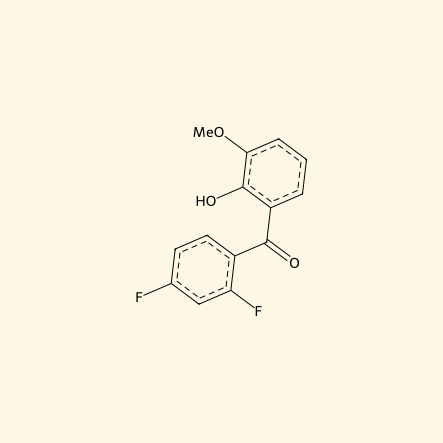 COc1cccc(C(=O)c2ccc(F)cc2F)c1O